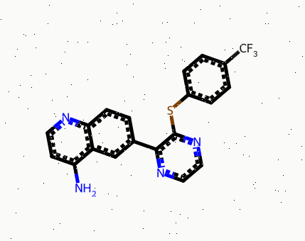 Nc1ccnc2ccc(-c3nccnc3Sc3ccc(C(F)(F)F)cc3)cc12